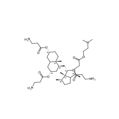 C[C@H](CCC(=O)OCCN(C)C)C1CC[C@@H](C)[C@]1(C)[C@H](C[C@H]1C[C@H](OC(=O)CCN)CC2C[C@H](OC(=O)CCN)CC[C@@]21C)OC(=O)CCN